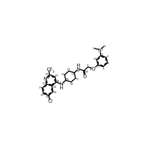 CN(C)c1cccc(OCC(=O)NC2CCC(Nc3cc(C(F)(F)F)nc4ccc(Cl)cc34)CC2)c1